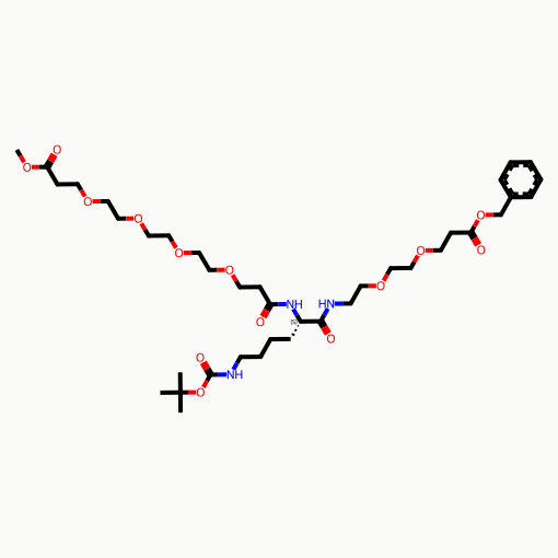 COC(=O)CCOCCOCCOCCOCCC(=O)N[C@@H](CCCCNC(=O)OC(C)(C)C)C(=O)NCCOCCOCCC(=O)OCc1ccccc1